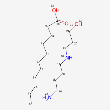 CCCCCCCCCCC(=O)O.NCCCCNCCCO